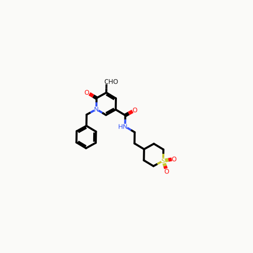 O=Cc1cc(C(=O)NCCC2CCS(=O)(=O)CC2)cn(Cc2ccccc2)c1=O